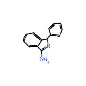 NC1=NC(c2ccccc2)c2ccccc21